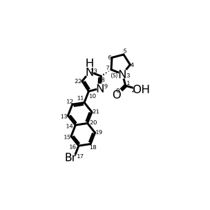 O=C(O)N1CCC[C@H]1c1nc(-c2ccc3cc(Br)ccc3c2)c[nH]1